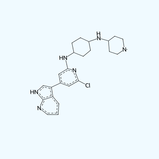 Clc1cc(-c2c[nH]c3ncccc23)cc(NC2CCC(NC3CC[N]CC3)CC2)n1